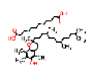 Cc1c(C)c2c(c(C)c1O)CC[C@@](C)(CCCC(C)CCCC(C)CCCC(C)C)O2.O=C(O)CCCCCCCCCCC(=O)O